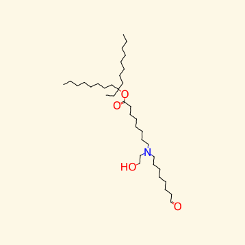 CCCCCCCCC(CC)(CCCCCCCC)OC(=O)CCCCCCCN(CCO)CCCCCCCC=O